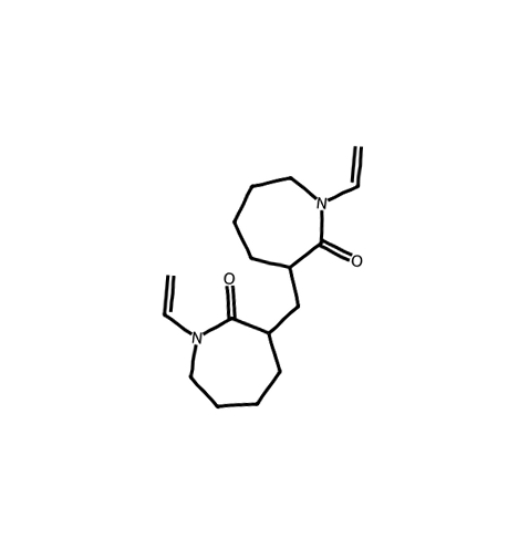 C=CN1CCCCC(CC2CCCCN(C=C)C2=O)C1=O